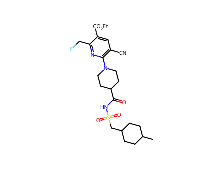 CCOC(=O)c1cc(C#N)c(N2CCC(C(=O)NS(=O)(=O)CC3CCC(C)CC3)CC2)nc1CF